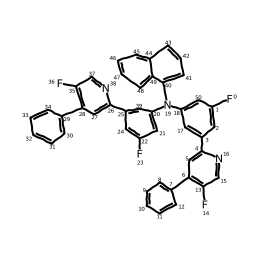 Fc1cc(-c2cc(-c3ccccc3)c(F)cn2)cc(N(c2cc(F)cc(-c3cc(-c4ccccc4)c(F)cn3)c2)c2cccc3ccccc23)c1